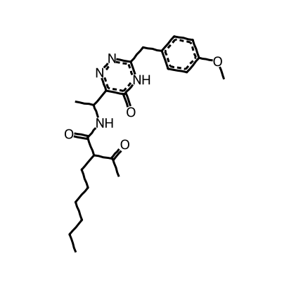 CCCCCCC(C(C)=O)C(=O)NC(C)c1nnc(Cc2ccc(OC)cc2)[nH]c1=O